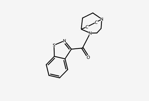 O=C(c1nsc2ccccc12)N1CCN2CCC1CC2